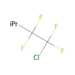 CC(C)C(F)(F)C(F)(F)Cl